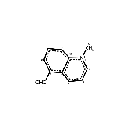 C[n+]1cccc2c(C=O)cccc21